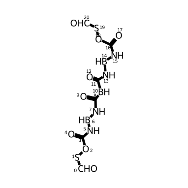 O=CSOC(=O)NBNC(=O)BC(=O)NBNC(=O)OSC=O